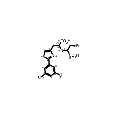 CC(C)CC(N[C@@H](Cc1csc(-c2cc(Cl)cc(Cl)c2)n1)C(=O)O)C(=O)O